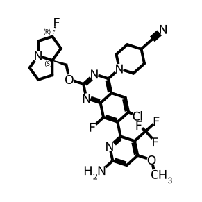 COc1cc(N)nc(-c2c(Cl)cc3c(N4CCC(C#N)CC4)nc(OC[C@@]45CCCN4C[C@H](F)C5)nc3c2F)c1C(F)(F)F